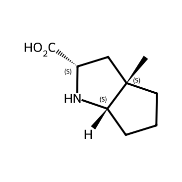 C[C@@]12CCC[C@@H]1N[C@H](C(=O)O)C2